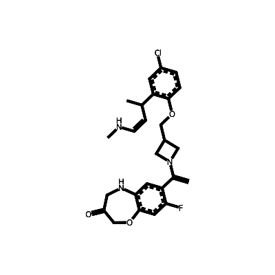 C=C(c1cc2c(cc1F)OCC(=O)CN2)N1CC(COc2ccc(Cl)cc2C(C)/C=C\NC)C1